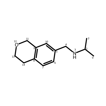 CC(C)NCc1ccc2c(c1)COCC2